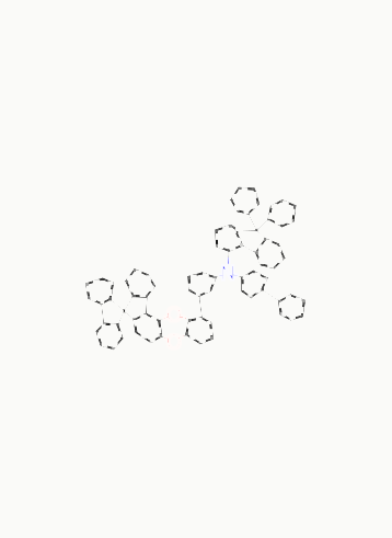 c1ccc(-c2ccc(N(c3cccc(-c4cccc5c4Oc4c(ccc6c4-c4ccccc4C64c6ccccc6-c6ccccc64)O5)c3)c3cccc4c3-c3ccccc3C4(c3ccccc3)c3ccccc3)cc2)cc1